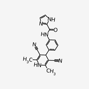 CC1=C(C#N)C(c2cccc(NC(=O)c3ncc[nH]3)c2)C(C#N)=C(C)N1